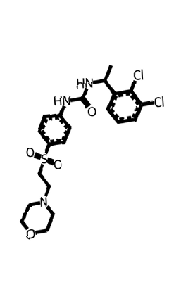 CC(NC(=O)Nc1ccc(S(=O)(=O)CCN2CCOCC2)cc1)c1cccc(Cl)c1Cl